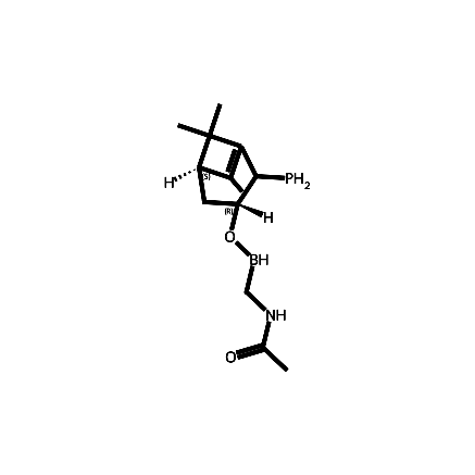 CC(=O)NCBO[C@@H]1C[C@@H]2C(C)=C(C1P)C2(C)C